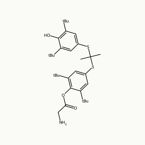 CC(C)(Sc1cc(C(C)(C)C)c(O)c(C(C)(C)C)c1)Sc1cc(C(C)(C)C)c(OC(=O)CN)c(C(C)(C)C)c1